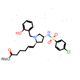 COC(=O)CCCC=C[C@@H]1C[C@@H](NS(=O)(=O)c2ccc(Cl)cc2)CN1Cc1ccccc1O